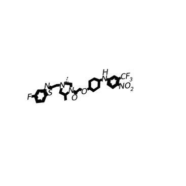 CC1CN(Cc2nc3cc(F)ccc3s2)[C@H](C)CN1C(=O)COC1CCC(Nc2ccc([N+](=O)[O-])c(C(F)(F)F)c2)CC1